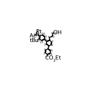 CCOC(=O)c1ccc(-c2ccc(CCCO)c(-c3ccc(N(CC)C(C)=O)c(C(C)(C)C)c3)c2)cc1